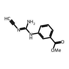 C#C/N=C(\N)Nc1cccc(C(=O)OC)c1